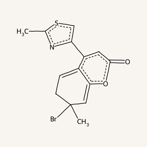 Cc1nc(-c2cc(=O)oc3c2=CCC(C)(Br)C=3)cs1